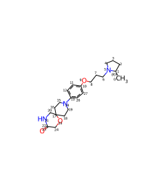 C[C@@H]1CCCN1CCCOc1ccc(N2CCC3(CC2)CNC(=O)CO3)cc1